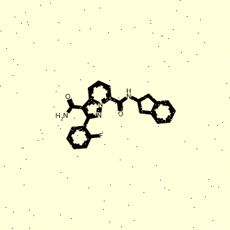 NC(=O)c1c(-c2ccccc2F)nn2c(C(=O)NC3Cc4ccccc4C3)cccc12